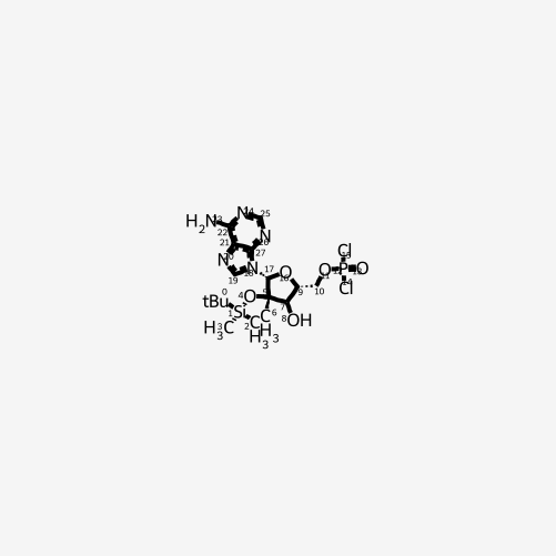 CC(C)(C)[Si](C)(C)O[C@@]1(C)C(O)[C@@H](COP(=O)(Cl)Cl)O[C@H]1n1cnc2c(N)ncnc21